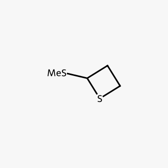 CSC1CCS1